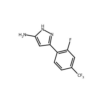 Nc1cc(-c2ccc(C(F)(F)F)cc2F)n[nH]1